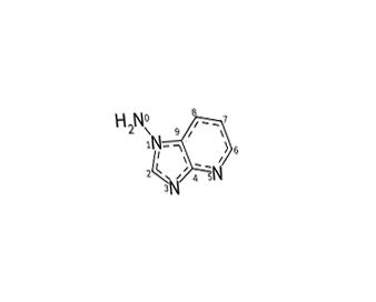 Nn1cnc2ncccc21